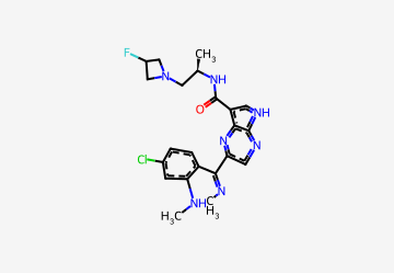 C/N=C(/c1cnc2[nH]cc(C(=O)N[C@H](C)CN3CC(F)C3)c2n1)c1ccc(Cl)cc1NC